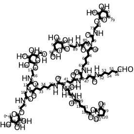 C[C@@H]1O[C@@H](OCCNC(=O)CN(CC(=O)NCCO[C@H]2O[C@H](CO)[C@@H](O)[C@H](O)[C@@H]2O)C(=O)CCCCCNC(=O)[C@H](CCC(=O)N[C@@H](CCC(=O)NCCCCCC=O)C(=O)NCCCCCC(=O)N(CC(=O)NCCO[C@@H]2O[C@@H](C)C[C@@H](O)[C@@H]2O)CC(=O)NCCO[C@H]2O[C@H](CO)C[C@H](O)[C@@H]2O)NC(=O)CNC(=O)CCCCC(=O)ON2C(=O)CCC2=O)[C@@H](O)[C@H](O)[C@@H]1O